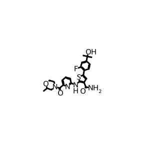 CC1CN(C(=O)c2cccc(Nc3sc(-c4ccc(C(C)(C)O)cc4F)cc3C(N)=O)n2)CCO1